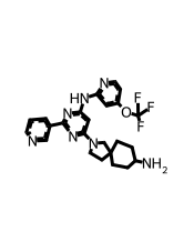 NC1CCC2(CC1)CCN(c1cc(Nc3cc(OC(F)(F)F)ccn3)nc(-c3cccnc3)n1)C2